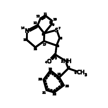 CC(NC(=O)C1CSC23C=CC=CC2=NCCC13)c1ccccc1